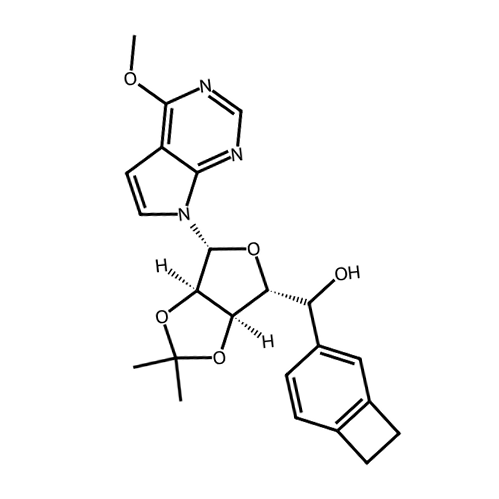 COc1ncnc2c1ccn2[C@@H]1O[C@H](C(O)c2ccc3c(c2)CC3)[C@H]2OC(C)(C)O[C@H]21